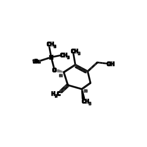 C=C1[C@H](O[Si](C)(C)C(C)(C)C)C(C)=C(CO)C[C@H]1C